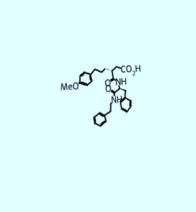 COc1ccc(CCC[C@H](CC(=O)O)C(=O)N[C@@H](Cc2ccccc2)C(=O)NCCc2ccccc2)cc1